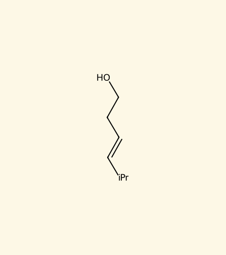 CC(C)C=CCCO